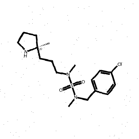 CN(CCC[C@]1(C)CCCN1)S(=O)(=O)N(C)Cc1ccc(Cl)cc1